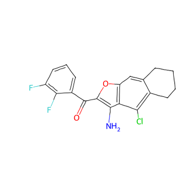 Nc1c(C(=O)c2cccc(F)c2F)oc2cc3c(c(Cl)c12)CCCC3